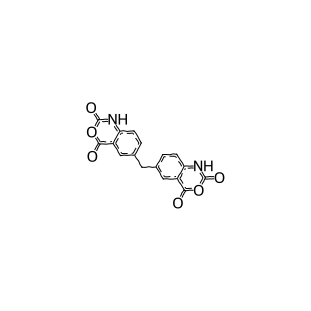 O=c1[nH]c2ccc(Cc3ccc4[nH]c(=O)oc(=O)c4c3)cc2c(=O)o1